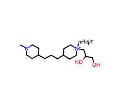 CCCCCCC[N+]1(CC(O)CO)CCC(CCCC2CCN(C)CC2)CC1